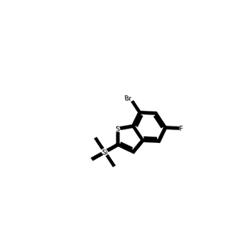 C[Si](C)(C)c1cc2cc(F)cc(Br)c2s1